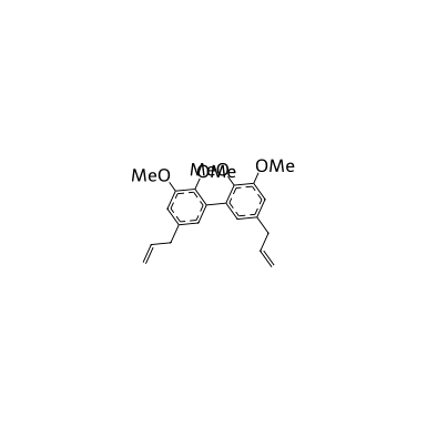 C=CCc1cc(OC)c(OC)c(-c2cc(CC=C)cc(OC)c2OC)c1